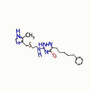 Cc1[nH]cnc1CSCCNc1nc(=O)c(CCCCCc2ccccc2)n[nH]1